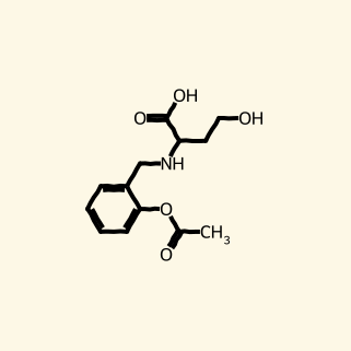 CC(=O)Oc1ccccc1CNC(CCO)C(=O)O